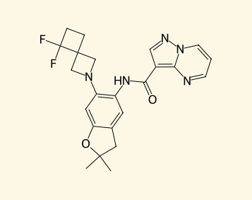 CC1(C)Cc2cc(NC(=O)c3cnn4cccnc34)c(N3CC4(CCC4(F)F)C3)cc2O1